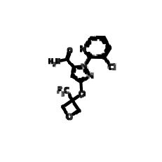 NC(=O)c1cc(OC2(C(F)(F)F)COC2)nn1-c1ncccc1Cl